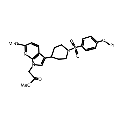 COC(=O)Cn1cc(C2CCN(S(=O)(=O)c3ccc(OC(C)C)cc3)CC2)c2ccc(OC)nc21